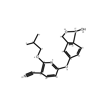 CC(C)COc1nc(Oc2ccc3c(c2)COB3O)ccc1C#N